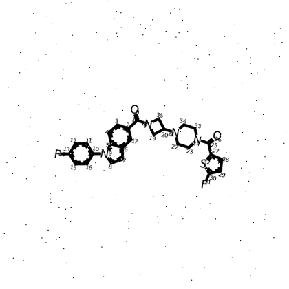 O=C(c1ccc2c(ccn2-c2ccc(F)cc2)c1)N1CC(N2CCN(C(=O)c3ccc(F)s3)CC2)C1